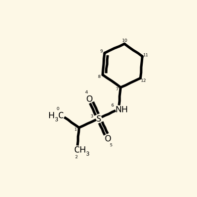 CC(C)S(=O)(=O)NC1C=CCCC1